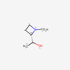 CC(O)[C@@H]1CCN1C(=O)O